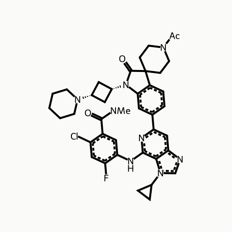 CNC(=O)c1cc(Nc2nc(-c3ccc4c(c3)N([C@H]3C[C@@H](N5CCCCC5)C3)C(=O)C43CCN(C(C)=O)CC3)cc3ncn(C4CC4)c23)c(F)cc1Cl